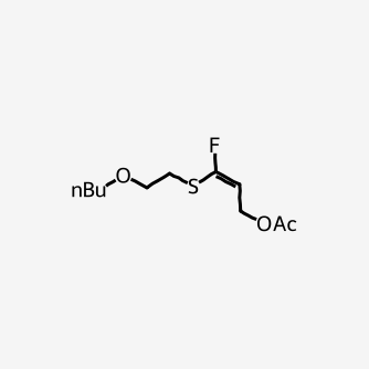 CCCCOCCS/C(F)=C\COC(C)=O